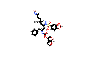 CC(CCC(C)(C)CC(NS(=O)(=O)c1ccc2c(c1)OCO2)[C@H](O)[C@H](Cc1ccccc1)NC(=O)O[C@H]1CO[C@H]2OCC[C@H]21)=NO